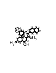 COc1cccc(C23CCN(C)CC2C(O)CC(N(C)C(=O)c2ccc4ccccc4c2)C3)c1